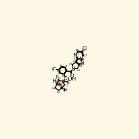 O=C(c1ccc(F)cc1O[C@@H]1C[C@@H]2CC[C@H](C1F)N2CCO)N1Cc2nn3cc(Cl)cnc3c2C1